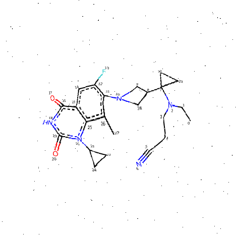 CCN(CCC#N)C1(C2CN(c3c(F)cc4c(=O)[nH]c(=O)n(C5CC5)c4c3C)C2)CC1